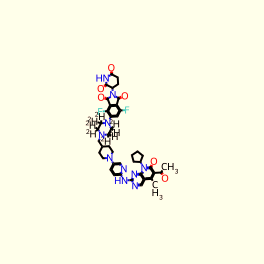 [2H]C1([2H])N(CC2CCN(c3ccc(Nc4ncc5c(C)c(C(C)=O)c(=O)n(C6CCCC6)c5n4)nc3)CC2)C([2H])([2H])C([2H])([2H])N(c2cc(F)c3c(c2F)C(=O)N(C2CCC(=O)NC2=O)C3=O)C1([2H])[2H]